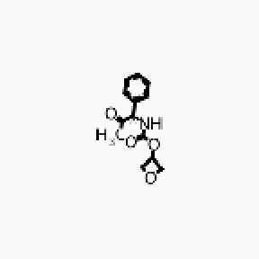 CC(=O)[C@H](NC(=O)OC1COC1)c1ccccc1